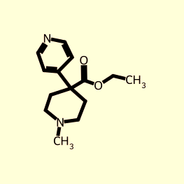 CCOC(=O)C1(c2ccncc2)CCN(C)CC1